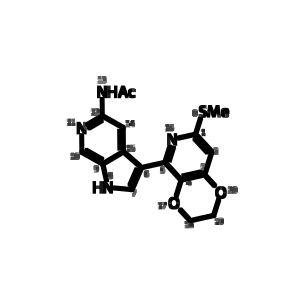 CSc1cc2c(c(-c3c[nH]c4cnc(NC(C)=O)cc34)n1)OCCO2